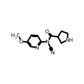 COc1ccc(N(C#N)C(=O)C2CCNC2)nc1